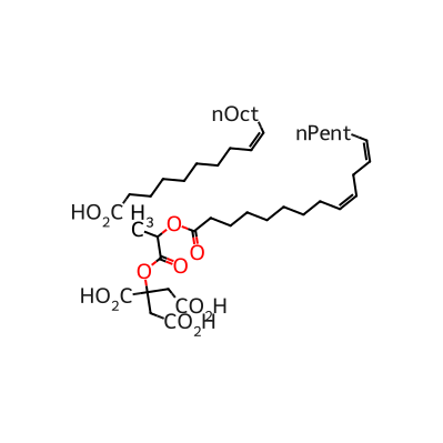 CCCCC/C=C\C/C=C\CCCCCCCC(=O)OC(C)C(=O)OC(CC(=O)O)(CC(=O)O)C(=O)O.CCCCCCCC/C=C\CCCCCCCC(=O)O